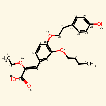 CCCCOc1cc(C=C(OCC)C(=O)O)ccc1OCCc1ccc(O)cc1